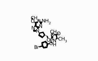 COC(=O)[C@H](C)NP(=S)(OC[C@@H]1C=C[C@H](n2cnc3c(OC)nc(N)nc32)C1)Oc1ccc(Br)cc1